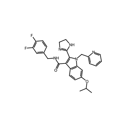 CC(C)Oc1ccc2c(C(=O)NCc3ccc(F)c(F)c3)c(C3=NCCN3)n(Cc3ccccn3)c2c1